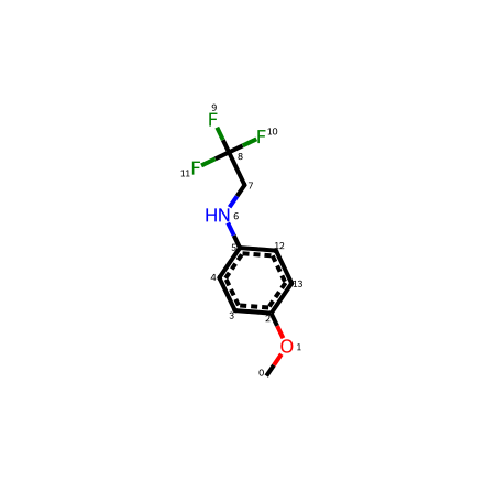 COc1ccc(NCC(F)(F)F)cc1